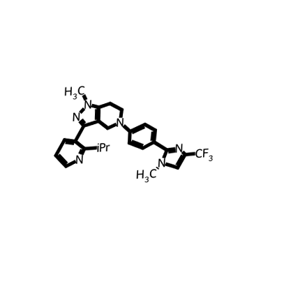 CC(C)c1ncccc1-c1nn(C)c2c1CN(c1ccc(-c3nc(C(F)(F)F)cn3C)cc1)CC2